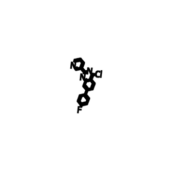 Fc1ccc(-c2ccc3c(Cl)nc(-c4cccnc4)nc3c2)cc1